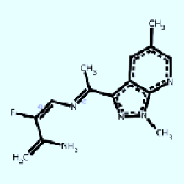 C=C(N)/C(F)=C\N=C(/C)c1nn(C)c2ncc(C)cc12